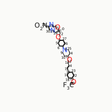 C[C@]1(COc2ccc(N3CCC(OCC=Cc4ccc(OC(F)(F)F)cc4)CC3)cc2)Cn2cc([N+](=O)[O-])nc2O1